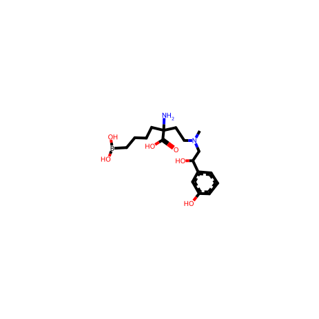 CN(CCC(N)(CCCCB(O)O)C(=O)O)CC(O)c1cccc(O)c1